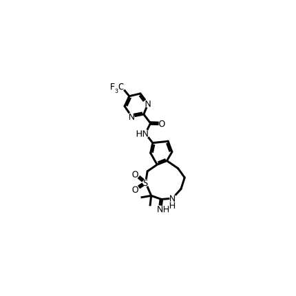 CC1(C)C(=N)NCCCc2ccc(NC(=O)c3ncc(C(F)(F)F)cn3)cc2CS1(=O)=O